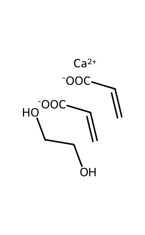 C=CC(=O)[O-].C=CC(=O)[O-].OCCO.[Ca+2]